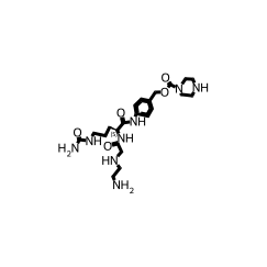 NCCNCC(=O)N[C@@H](CCCNC(N)=O)C(=O)Nc1ccc(COC(=O)N2CCNCC2)cc1